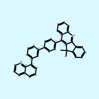 CC1(C)c2ccccc2-c2nc3ccccc3c(-c3ccc(-c4cccc(-c5cccc6cccnc56)c4)cc3)c21